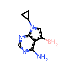 Bc1cn(C2CC2)c2ncnc(N)c12